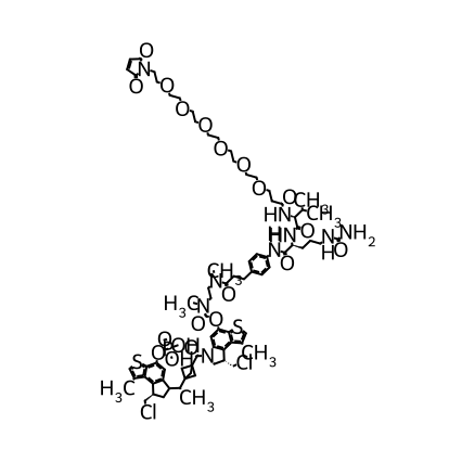 Cc1csc2c(OP(=O)(O)O)cc3c(c12)[C@H](CCl)CC3C(C)C12CC(C(=O)N3C[C@@H](CCl)c4c3cc(OC(=O)N(C)CCN(C)C(=O)CCc3ccc(NC(=O)[C@H](CCCNC(N)=O)NC(=O)[C@@H](NC(=O)CCOCCOCCOCCOCCOCCOCCN5C(=O)C=CC5=O)C(C)C)cc3)c3scc(C)c43)(C1)C2